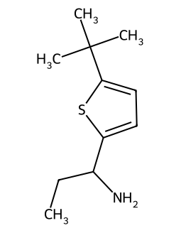 CCC(N)c1ccc(C(C)(C)C)s1